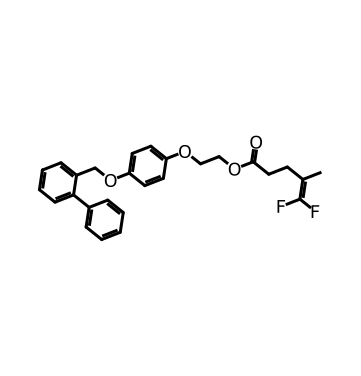 CC(CCC(=O)OCCOc1ccc(OCc2ccccc2-c2ccccc2)cc1)=C(F)F